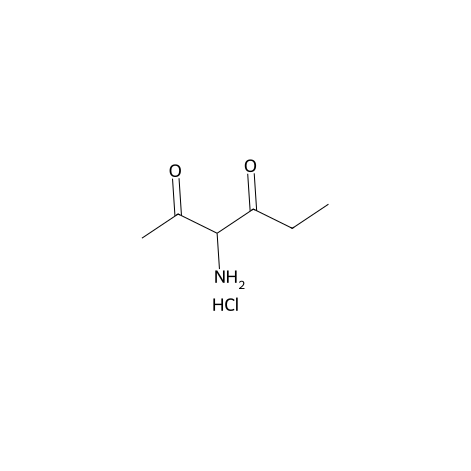 CCC(=O)C(N)C(C)=O.Cl